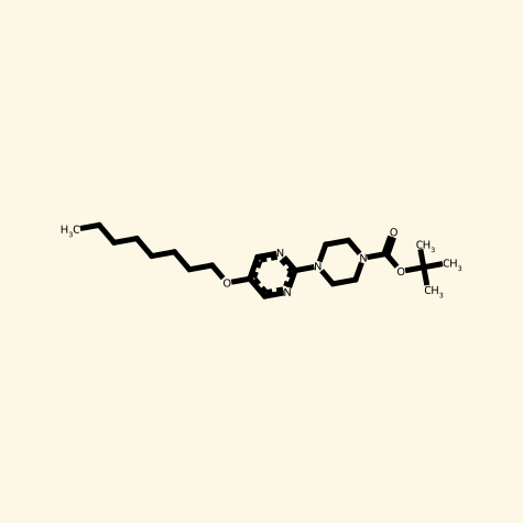 CCCCCCCCOc1cnc(N2CCN(C(=O)OC(C)(C)C)CC2)nc1